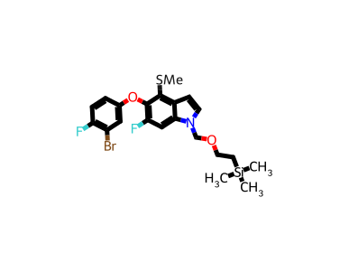 CSc1c(Oc2ccc(F)c(Br)c2)c(F)cc2c1ccn2COCC[Si](C)(C)C